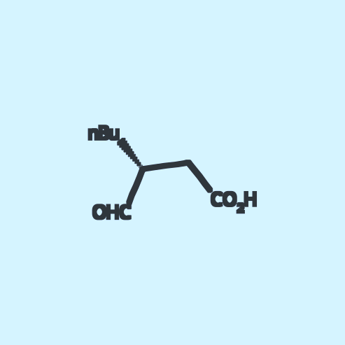 CCCC[C@@H](C=O)CC(=O)O